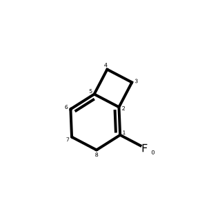 FC1=C2CCC2=CCC1